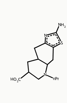 CCCN1CC(C(=O)O)CC2Cc3nc(N)sc3CC21